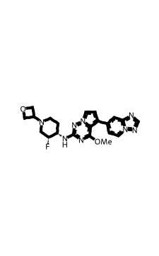 COc1nc(N[C@H]2CCN(C3COC3)C[C@H]2F)nn2ccc(-c3ccn4ncnc4c3)c12